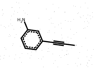 [CH2]C#Cc1cccc(N)c1